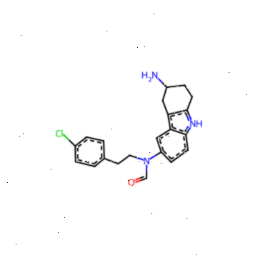 NC1CCc2[nH]c3ccc(N(C=O)CCc4ccc(Cl)cc4)cc3c2C1